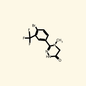 CN1CC(=O)NN=C1c1ccc(Br)c(C(F)(F)F)c1